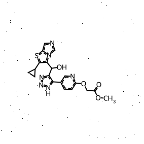 COC(=O)COc1ccc(-c2[nH]nnc2C(O)c2c(C3CC3)sc3cncn23)cn1